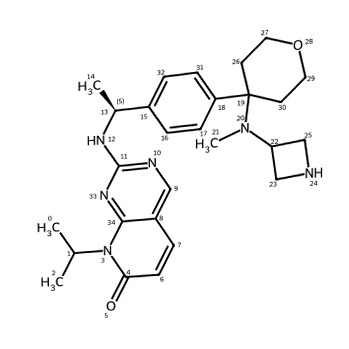 CC(C)n1c(=O)ccc2cnc(N[C@@H](C)c3ccc(C4(N(C)C5CNC5)CCOCC4)cc3)nc21